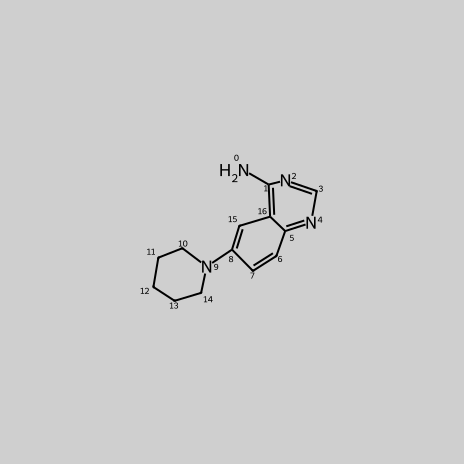 Nc1ncnc2ccc(N3CCCCC3)cc12